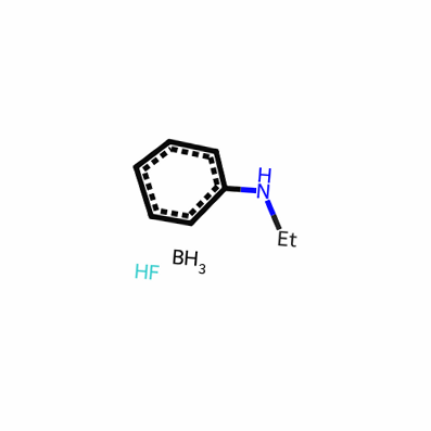 B.CCNc1ccccc1.F